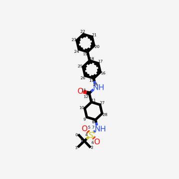 CC(C)(C)S(=O)(=O)NC1CCC(C(=O)Nc2ccc(-c3ccccc3)cc2)CC1